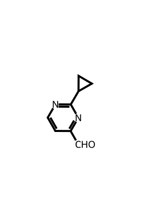 O=Cc1ccnc(C2CC2)n1